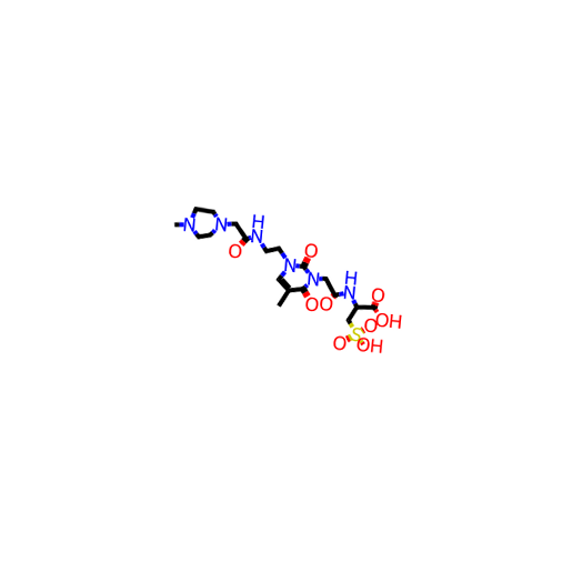 Cc1cn(CCNC(=O)CN2CCN(C)CC2)c(=O)n(CC(=O)NC(CS(=O)(=O)O)C(=O)O)c1=O